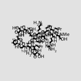 CN[C@@H](CO)C(=O)N[C@@H](CCCNC(=N)N)C(=O)N[C@@H](CC(C)C)C(=O)N[C@@H](CC(C)C)C(=O)N[C@H](C(=O)N[C@@H](CCCCN)C(=O)N[C@@H](CC(C)C)C(=O)NCC(=O)N[C@@H](CO)C(=O)N[C@H](C(=O)NCC(=O)N1CCC[C@H]1C(=O)N[C@@H](C)C(=O)N[C@@H](CO)C(=O)N[C@@H](CC(C)C)C(=O)N[C@@H](CO)C(N)=O)[C@@H](C)O)[C@@H](C)O